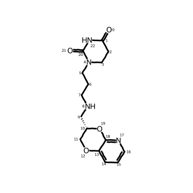 O=C1CCN(CCCNC[C@H]2COc3cccnc3O2)C(=O)N1